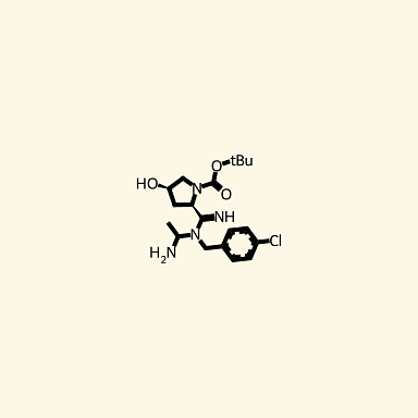 CC(N)N(Cc1ccc(Cl)cc1)C(=N)[C@H]1C[C@@H](O)CN1C(=O)OC(C)(C)C